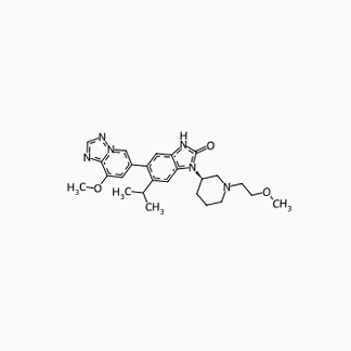 COCCN1CCC[C@@H](n2c(=O)[nH]c3cc(-c4cc(OC)c5ncnn5c4)c(C(C)C)cc32)C1